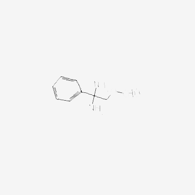 NC(N)(COC=O)c1ccccc1